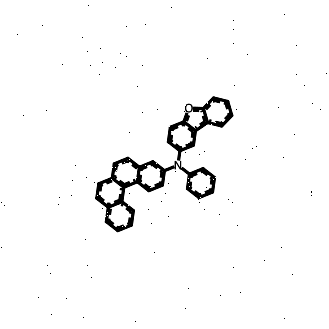 c1ccc(N(c2ccc3c(ccc4ccc5ccccc5c43)c2)c2ccc3oc4ccccc4c3c2)cc1